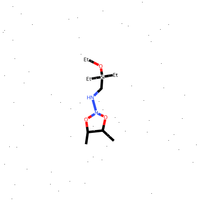 CCO[Si](CC)(CC)CNN1OC(C)C(C)O1